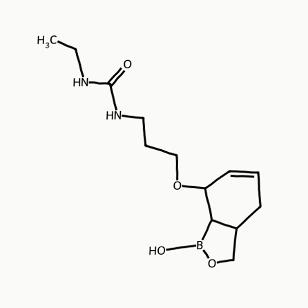 CCNC(=O)NCCCOC1C=CCC2COB(O)C21